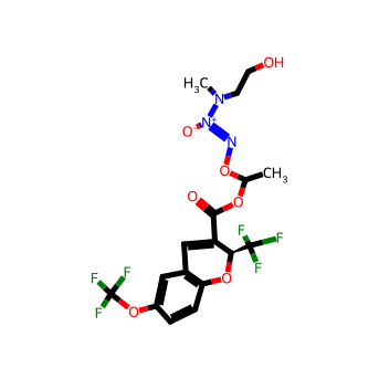 CC(O/N=[N+](\[O-])N(C)CCO)OC(=O)C1=Cc2cc(OC(F)(F)F)ccc2O[C@@H]1C(F)(F)F